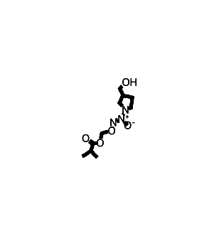 CC(C)C(=O)OCON=[N+]([O-])N1CCC(CO)C1